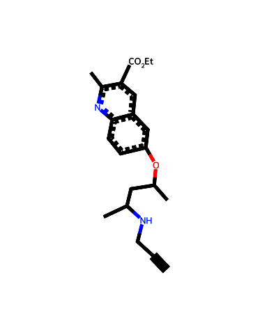 C#CCNC(C)CC(C)Oc1ccc2nc(C)c(C(=O)OCC)cc2c1